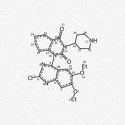 CCOc1cc2nc(Cl)nc(-n3c(=O)n(C4CCNCC4)c(=O)c4ccccc43)c2cc1OCC